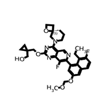 CCc1c(F)ccc2cc(OCOC)cc(-c3ncc4c(N5CCC[C@]6(CCO6)C5)nc(OCC5(CO)CC5)nc4c3F)c12